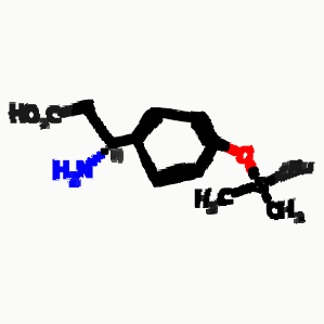 CC(C)(C)[Si](C)(C)Oc1ccc([C@H](N)CC(=O)O)cc1